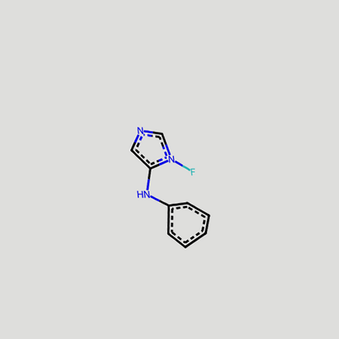 Fn1cncc1Nc1ccccc1